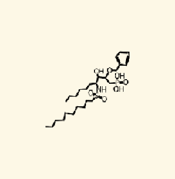 CCCCCCCCCCS(=O)(=O)NC(CCCCCC)C(O)C(CP(=O)(O)O)OCc1ccccc1